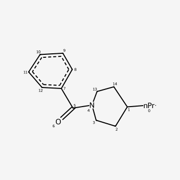 CC[CH]C1CCN(C(=O)c2ccccc2)CC1